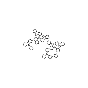 c1ccc(-n2c3ccccc3c3ccc(-c4cccc(-c5cccc(N(c6cccc7c6oc6ccccc67)c6cccc7c6oc6cc(-c8cccc9oc%10c(N(c%11ccc(-c%12ccc%13c%14ccccc%14n(-c%14ccccc%14)c%13c%12)c%12ccccc%11%12)c%11cccc%12c%11oc%11ccccc%11%12)cccc%10c89)ccc67)c5)c4)cc32)cc1